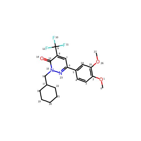 COc1ccc(-c2cc(C(F)(F)F)c(=O)n(CC3CCCCC3)n2)cc1OC